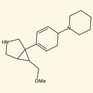 COCC1C2CNCC21C1=CCC(N2CCCCC2)C=C1